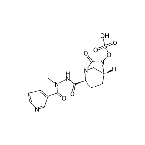 CN(NC(=O)[C@@H]1CC[C@@H]2CN1C(=O)N2OS(=O)(=O)O)C(=O)c1cccnc1